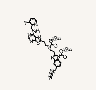 CC(C)(C)OC(=O)N(CCc1nc2c(NCc3ncccc3F)ncnc2s1)CCc1nc2cc(CN=[N+]=[N-])ccc2n1C(=O)OC(C)(C)C